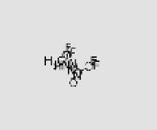 C[C@@H](COC(F)F)Nc1ncc2c(C3=CCC(F)(F)CC3)cn(C3CCCCC3)c2n1